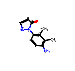 Cc1c(N)ccc(-n2[nH]ccc2=O)c1C